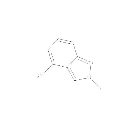 CC(C)c1cccc2nn(I)cc12